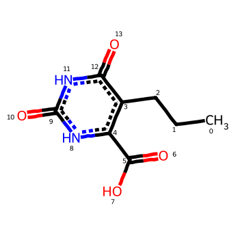 CCCc1c(C(=O)O)[nH]c(=O)[nH]c1=O